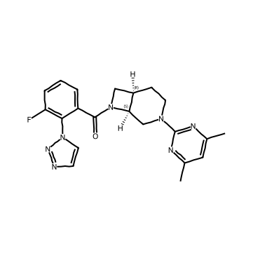 Cc1cc(C)nc(N2CC[C@@H]3CN(C(=O)c4cccc(F)c4-n4ccnn4)[C@@H]3C2)n1